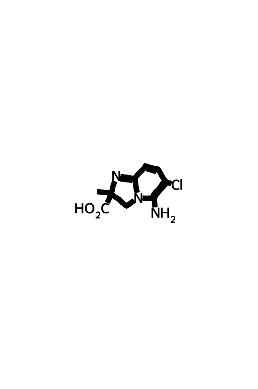 CC1(C(=O)O)CN2C(=N1)C=CC(Cl)=C2N